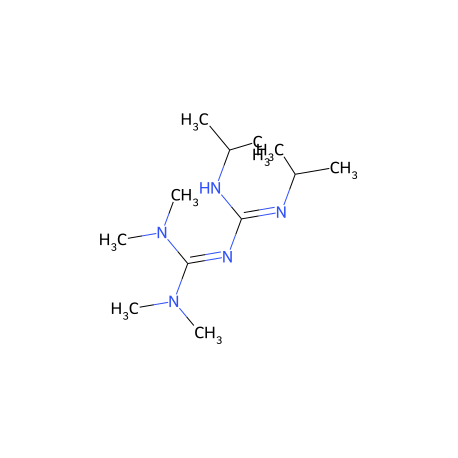 CC(C)/N=C(/N=C(N(C)C)N(C)C)NC(C)C